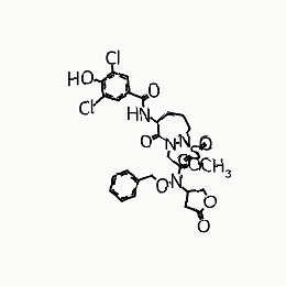 CS(=O)(=O)N1CCCC(NC(=O)c2cc(Cl)c(O)c(Cl)c2)C(=O)N1CC(=O)N(OCc1ccccc1)C1COC(=O)C1